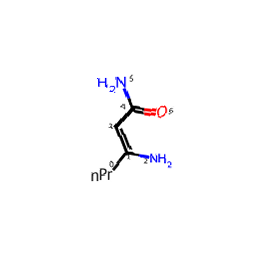 CCC/C(N)=C/C(N)=O